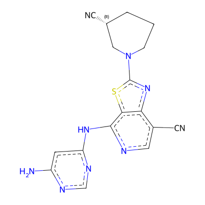 N#Cc1cnc(Nc2cc(N)ncn2)c2sc(N3CCC[C@@H](C#N)C3)nc12